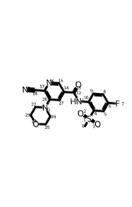 CS(=O)(=O)c1cc(F)ccc1NC(=O)c1cnc(C#N)c(N2CCOCC2)c1